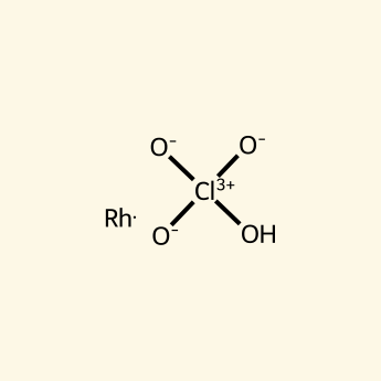 [O-][Cl+3]([O-])([O-])O.[Rh]